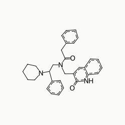 O=C(Cc1ccccc1)N(Cc1cc2ccccc2[nH]c1=O)CC(c1ccccc1)N1CCCCC1